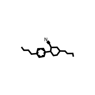 CCCCc1ccc(C2CCC(CCCC)CC2C#N)cc1